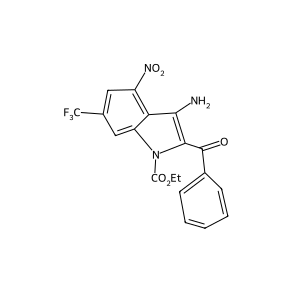 CCOC(=O)n1c(C(=O)c2ccccc2)c(N)c2c([N+](=O)[O-])cc(C(F)(F)F)cc21